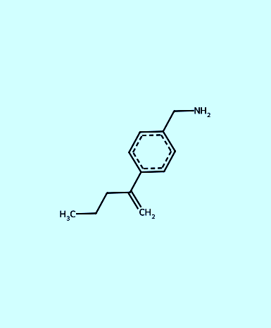 C=C(CCC)c1ccc(CN)cc1